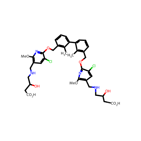 COc1nc(OCc2cccc(-c3cccc(COc4nc(OC)c(CNCC(O)CC(=O)O)cc4Cl)c3C)c2C)c(Cl)cc1CNCC(O)CC(=O)O